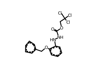 O=C(NNc1ccccc1OCc1ccccc1)OCC(Cl)(Cl)Cl